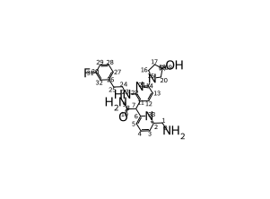 NCc1cccc(C(C(N)=O)c2ccc(N3CC[C@@H](O)C3)nc2NCCc2cccc(F)c2)n1